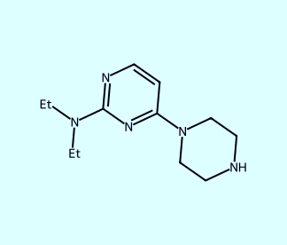 CCN(CC)c1nccc(N2CCNCC2)n1